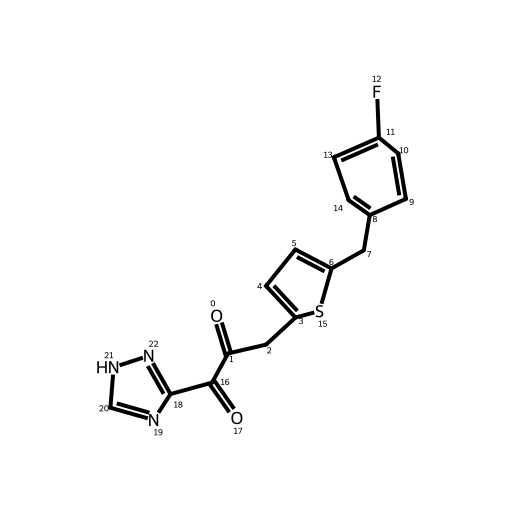 O=C(Cc1ccc(Cc2ccc(F)cc2)s1)C(=O)c1nc[nH]n1